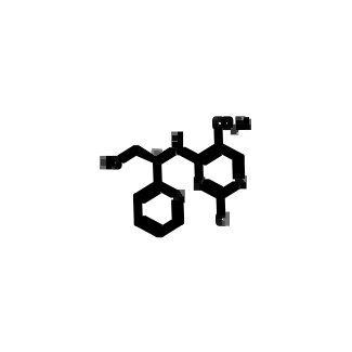 CCOC(=O)c1cnc(Cl)nc1N[C@H](CO)c1ccccn1